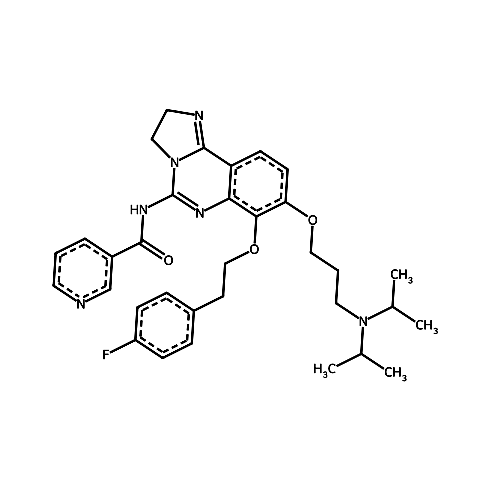 CC(C)N(CCCOc1ccc2c(c1OCCc1ccc(F)cc1)N=C(NC(=O)c1cccnc1)N1CCN=C21)C(C)C